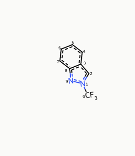 FC(F)(F)n1cc2ccccc2n1